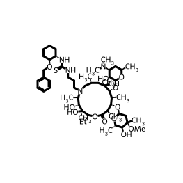 CC[C@H]1OC(=O)[C@H](C)[C@@H](O[C@H]2C[C@@](C)(OC)[C@@H](O)[C@H](C)O2)[C@H](C)[C@@H](O[C@@H]2O[C@H](C)C[C@H](N(C)C)[C@H]2O)[C@](C)(O)C[C@@H](C)CN(CCCNC(=S)N[C@H]2CCCC[C@@H]2OCc2ccccc2)[C@H](C)[C@@H](O)[C@]1(C)O